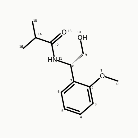 COc1ccccc1[C@@H](CO)NC(=O)C(C)C